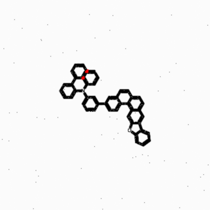 c1ccc(-c2ccccc2N(c2ccccc2)c2cccc(-c3ccc4c(ccc5ccc6cc7c(cc6c54)oc4ccccc47)c3)c2)cc1